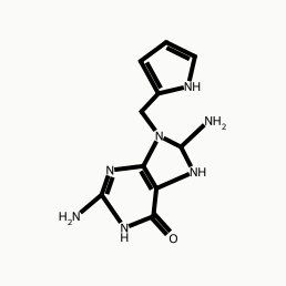 Nc1nc2c(c(=O)[nH]1)NC(N)N2Cc1ccc[nH]1